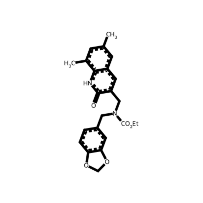 CCOC(=O)N(Cc1ccc2c(c1)OCO2)Cc1cc2cc(C)cc(C)c2[nH]c1=O